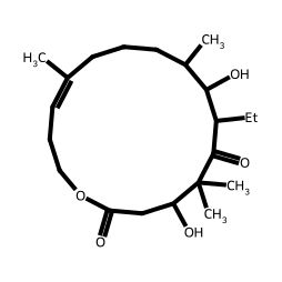 CCC1C(=O)C(C)(C)C(O)CC(=O)OCC/C=C(/C)CCCC(C)C1O